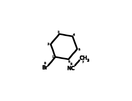 BrC1CCCCC1.CC#N